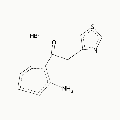 Br.Nc1ccccc1C(=O)Cc1cscn1